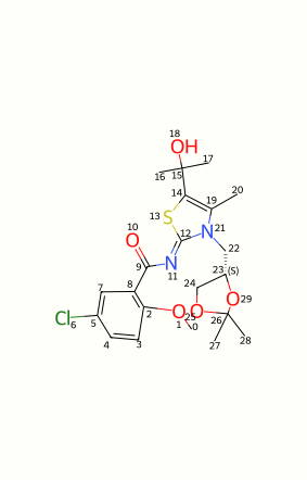 COc1ccc(Cl)cc1C(=O)N=c1sc(C(C)(C)O)c(C)n1C[C@H]1COC(C)(C)O1